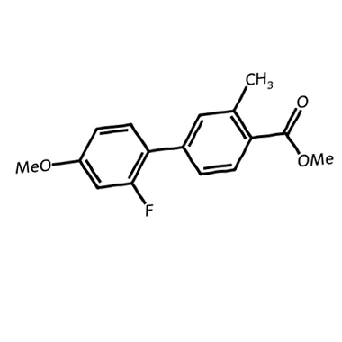 COC(=O)c1ccc(-c2ccc(OC)cc2F)cc1C